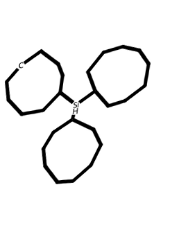 C1CCCCC([SiH](C2CCCCCCCC2)C2CCCCCCCC2)CCC1